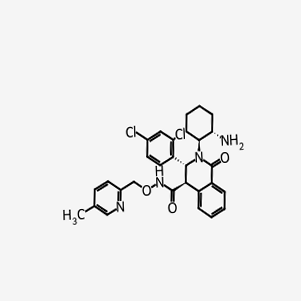 Cc1ccc(CONC(=O)[C@@H]2c3ccccc3C(=O)N([C@H]3CCCC[C@@H]3N)[C@H]2c2ccc(Cl)cc2Cl)nc1